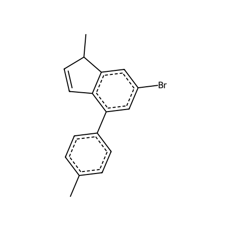 Cc1ccc(-c2cc(Br)cc3c2C=CC3C)cc1